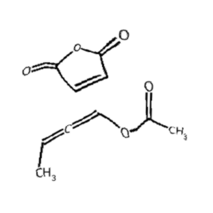 CC=C=COC(C)=O.O=C1C=CC(=O)O1